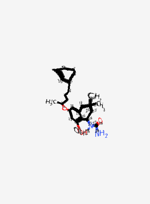 CC(CCCc1ccccc1)Oc1cc(O)c2c(c1)CC(C)(C)CC2N(C=O)C(N)=O